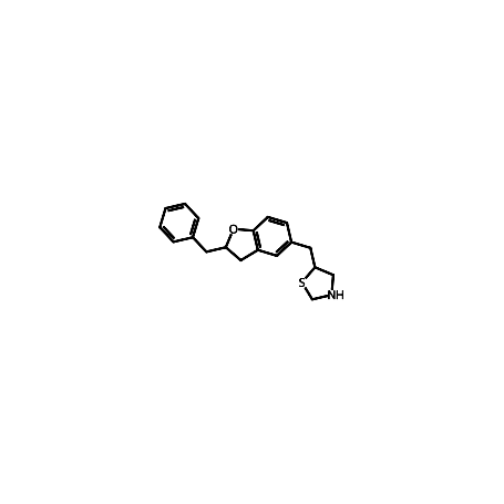 c1ccc(CC2Cc3cc(CC4CNCS4)ccc3O2)cc1